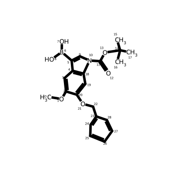 COc1cc2c(B(O)O)cn(C(=O)OC(C)(C)C)c2cc1OCc1ccccc1